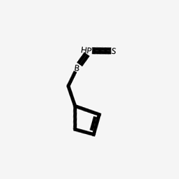 S=[PH]=BCC1C=CC1